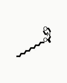 C=C(CN1CCOCC1)OCCCCCCCCCCCC